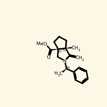 C=C1N([C@H](C)c2ccccc2)C[C@]2(C(=O)OC)CCC[C@]12C